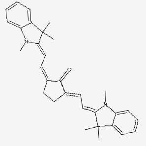 CN1/C(=C\C=C2\CC/C(=C\C=C3/N(C)c4ccccc4C3(C)C)C2=O)C(C)(C)c2ccccc21